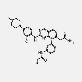 C=CC(=O)Nc1cccc(-c2c(CC(N)=O)ccc3cnc(Nc4ccc(N5CCN(C)CC5)cc4Cl)nc23)c1